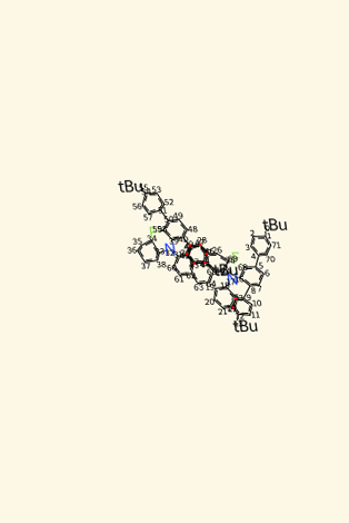 CC(C)(C)c1ccc(-c2ccc(-c3ccc(C(C)(C)C)cc3)c(N(c3ccccc3)c3ccc4ccc5c(N(c6ccccc6)c6c(-c7ccc(C(C)(C)C)cc7)ccc(-c7ccc(C(C)(C)C)cc7)c6F)ccc6ccc3c4c65)c2F)cc1